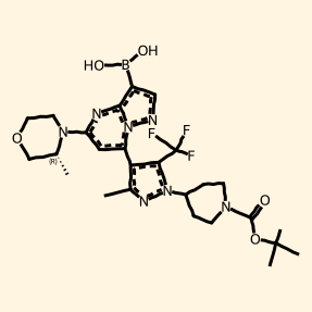 Cc1nn(C2CCN(C(=O)OC(C)(C)C)CC2)c(C(F)(F)F)c1-c1cc(N2CCOC[C@H]2C)nc2c(B(O)O)cnn12